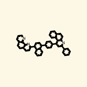 c1ccc(-c2cc(-c3ccc(-c4ccc(-c5ccc6ccc7cccnc7c6n5)c5ccccc45)cc3)c3c(ccc4ccccc43)n2)cc1